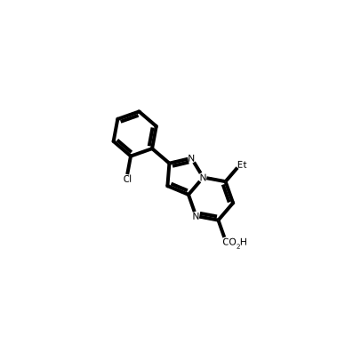 CCc1cc(C(=O)O)nc2cc(-c3ccccc3Cl)nn12